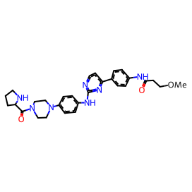 COCCC(=O)Nc1ccc(-c2ccnc(Nc3ccc(N4CCN(C(=O)C5CCCN5)CC4)cc3)n2)cc1